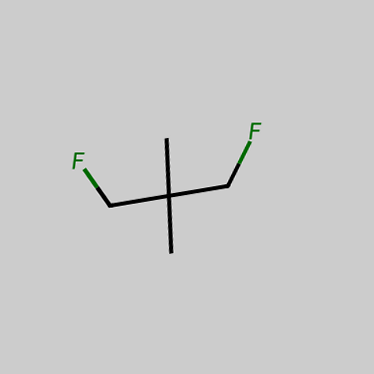 CC(C)(CF)CF